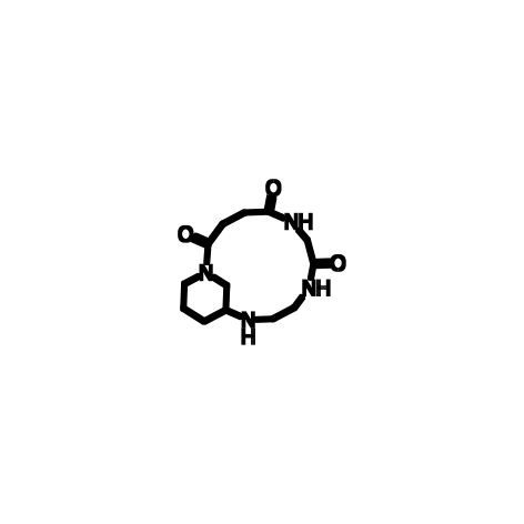 O=C1CCC(=O)N2CCCC(C2)NCCNC(=O)CN1